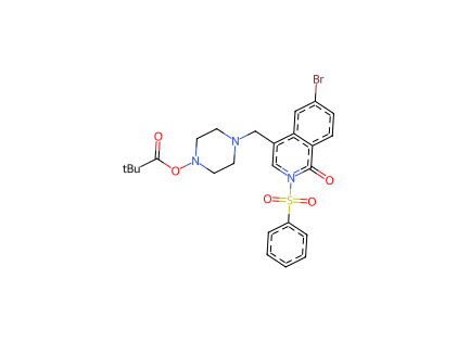 CC(C)(C)C(=O)ON1CCN(Cc2cn(S(=O)(=O)c3ccccc3)c(=O)c3ccc(Br)cc23)CC1